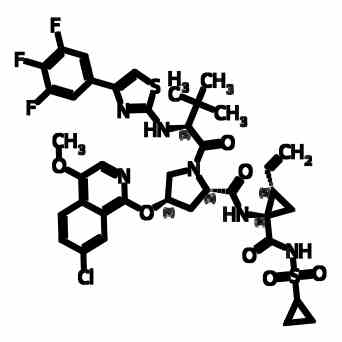 C=C[C@@H]1C[C@]1(NC(=O)[C@@H]1C[C@@H](Oc2ncc(OC)c3ccc(Cl)cc23)CN1C(=O)[C@@H](Nc1nc(-c2cc(F)c(F)c(F)c2)cs1)C(C)(C)C)C(=O)NS(=O)(=O)C1CC1